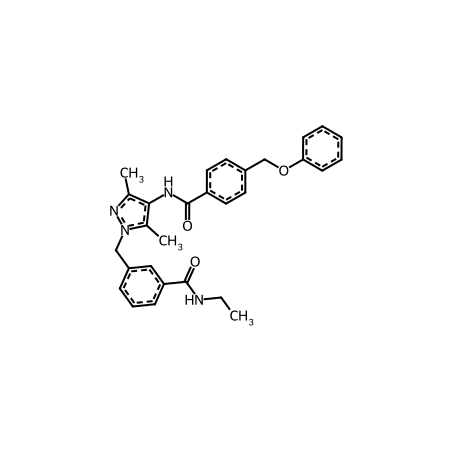 CCNC(=O)c1cccc(Cn2nc(C)c(NC(=O)c3ccc(COc4ccccc4)cc3)c2C)c1